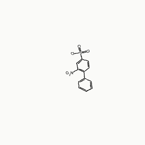 O=[N+]([O-])c1cc(S(=O)(=O)Cl)ccc1-c1ccccc1